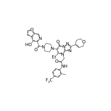 CCc1c(N2CCN(C(=O)c3ncc4occc4c3O)CC2)c(=O)n2nc(C3=CCOCC3)nc2n1CC(=O)Nc1ccc(C(F)(F)F)cc1C